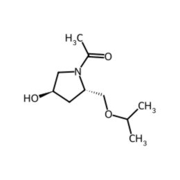 CC(=O)N1C[C@H](O)C[C@H]1COC(C)C